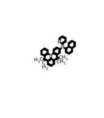 CC1(C)C2=C(C=CCC2)N2c3ccc(N(C4=CC=CC5C=CC=CC45)c4ccccn4)cc3C(C)(C)c3cccc1c32